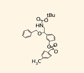 Cc1ccc(S(=O)(=O)Oc2cccc(C(CNC(=O)OC(C)(C)C)OCc3ccccc3)c2)cc1